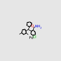 Cc1ccc(C(c2ccccc2)c2ccccc2C(N)=O)c(C)c1.[Cl][Pd]